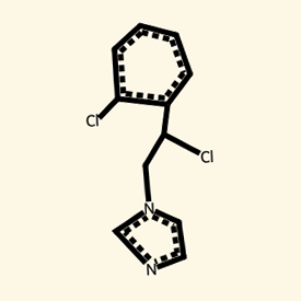 Clc1ccccc1C(Cl)Cn1ccnc1